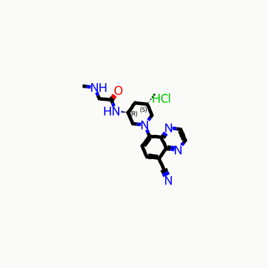 CNCC(=O)N[C@@H]1C[C@H](C)CN(c2ccc(C#N)c3nccnc23)C1.Cl